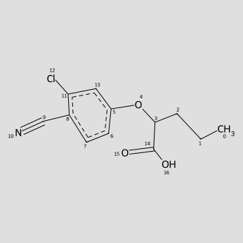 CCCC(Oc1ccc(C#N)c(Cl)c1)C(=O)O